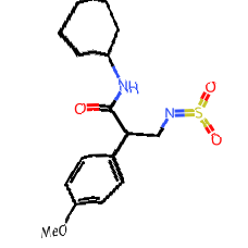 COc1ccc(C(CN=S(=O)=O)C(=O)NC2CCCCC2)cc1